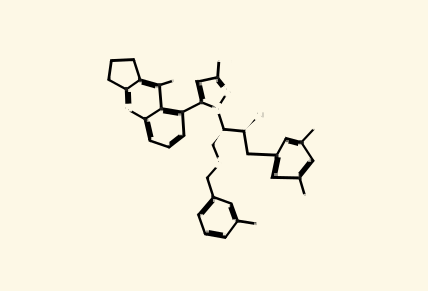 CCc1cccc(CNC[C@H]([C@@H](N)Cc2cc(F)cc(F)c2)n2nc(C)cc2-c2cccc3nc4c(c(C(=O)O)c23)CCC4)c1